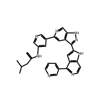 C=C(CC(C)C)Nc1cncc(-c2cc3c(-c4cc5c(-c6cccnc6)nccc5[nH]4)n[nH]c3cn2)c1